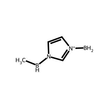 B[n+]1ccn(BC)c1